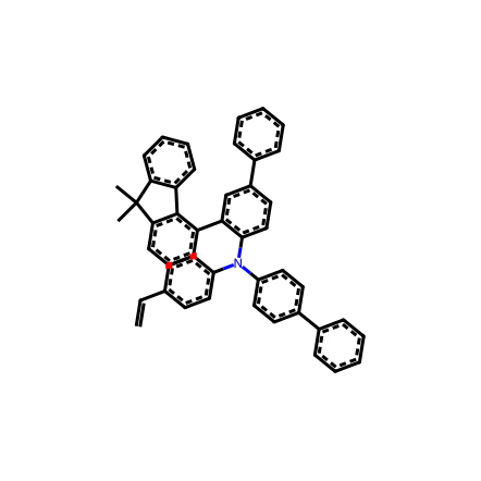 C=Cc1ccc(N(c2ccc(-c3ccccc3)cc2)c2ccc(-c3ccccc3)cc2-c2cccc3c2-c2ccccc2C3(C)C)cc1